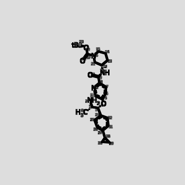 C[C@H](N)[C@H](Oc1ccc(C(=O)N[C@H]2CCCN(C(=O)OC(C)(C)C)C2)nc1)c1ccc(C2CC2)cc1